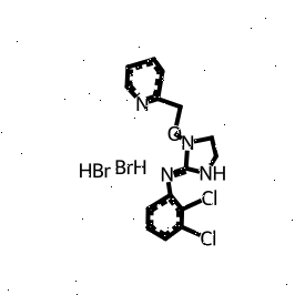 Br.Br.Clc1cccc(/N=C2\NCCN2OCc2ccccn2)c1Cl